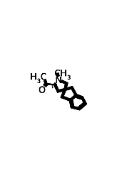 CC(=O)[C@@H]1CC2(Cc3ccccc3C2)CN1C